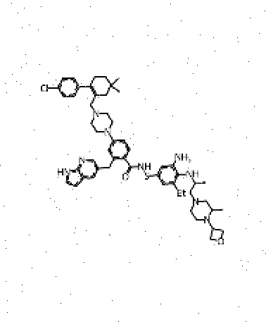 CCc1cc(SNC(=O)c2ccc(N3CCN(CC4=C(c5ccc(Cl)cc5)CCC(C)(C)C4)CC3)cc2Cc2cnc3[nH]ccc3c2)cc(N)c1N[C@@H](C)CN1CCN(C2COC2)[C@H](C)C1